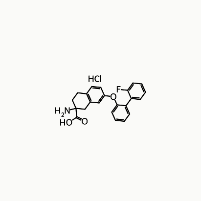 Cl.NC1(C(=O)O)CCc2ccc(Oc3ccccc3-c3ccccc3F)cc2C1